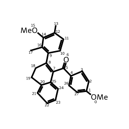 COc1ccc(C(=O)C2=C(c3ccc(C)c(OC)c3C)CCc3ccccc32)cc1